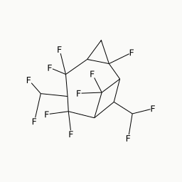 FC(F)C1C2C(F)(F)C(C(F)F)C(F)(F)C3CC3(F)C1C2(F)F